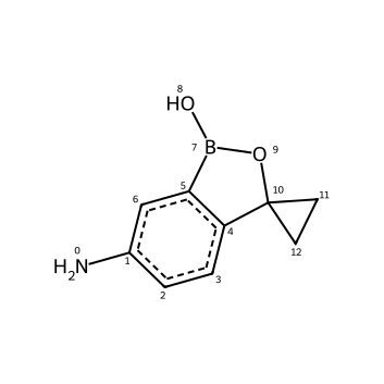 Nc1ccc2c(c1)B(O)OC21CC1